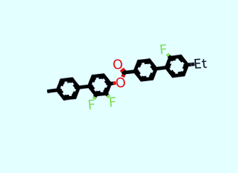 CCc1ccc(-c2ccc(C(=O)Oc3ccc(-c4ccc(C)cc4)c(F)c3F)cc2)c(F)c1